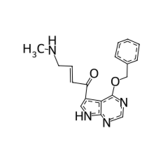 CNCC=CC(=O)c1c[nH]c2ncnc(OCc3ccccc3)c12